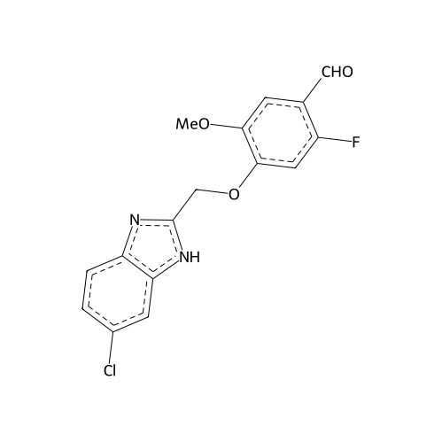 COc1cc(C=O)c(F)cc1OCc1nc2ccc(Cl)cc2[nH]1